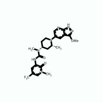 COc1n[nH]c2ncc(N3CC[C@@H](N(C)C(=O)Nc4cc(C(F)(F)F)cn(C)c4=O)C[C@H]3C)cc12